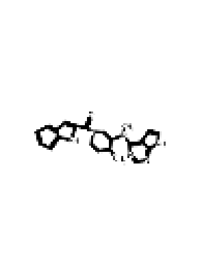 CC1CCN(C(=O)c2cc3ccccc3[nH]2)CC1N(C)c1ncnc2[nH]ccc12